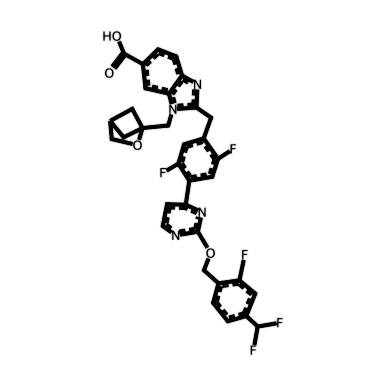 O=C(O)c1ccc2nc(Cc3cc(F)c(-c4ccnc(OCc5ccc(C(F)F)cc5F)n4)cc3F)n(CC34CC(CO3)C4)c2c1